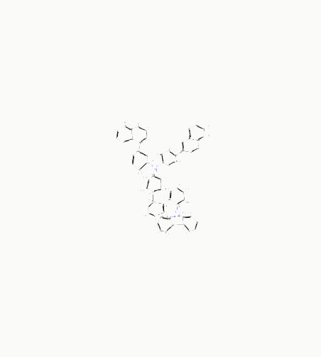 c1cc(-c2cccc3ccccc23)cc(N(c2ccc(-c3ccc4ccccc4c3)cc2)c2ccc(-c3ccccc3-c3ccccc3-n3c4ccccc4c4ccccc43)cc2)c1